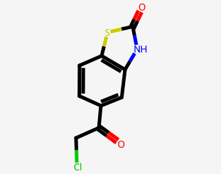 O=C(CCl)c1ccc2sc(=O)[nH]c2c1